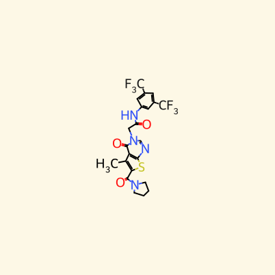 Cc1c(C(=O)N2CCCC2)sc2ncn(CC(=O)Nc3cc(C(F)(F)F)cc(C(F)(F)F)c3)c(=O)c12